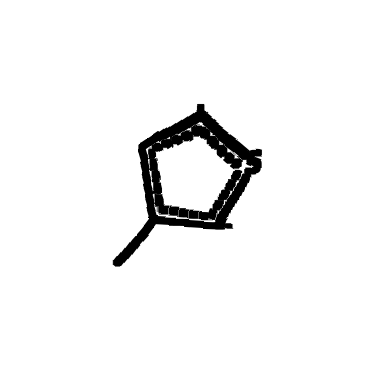 Cc1[c]s[c]c1